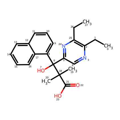 CCc1ncc(C(O)(c2cccc3ccccc23)C(C)(C)C(=O)O)nc1CC